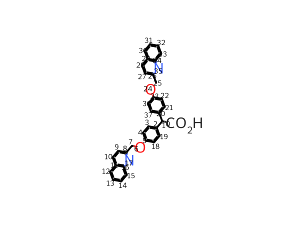 O=C(O)C(c1ccc(OCc2ccc3ccccc3n2)cc1)c1ccc(OCc2ccc3ccccc3n2)cc1